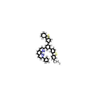 CC1C=Cc2c(sc3ccc(-c4cc(-c5ccc6sc7c(c6c5)CC=CC=C7)cc(-c5ccc6ccc7ccc(-c8ccccc8)nc7c6n5)c4)cc23)C1